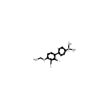 CCOc1ccc(-c2ccc(B(O)O)cc2)c(F)c1F